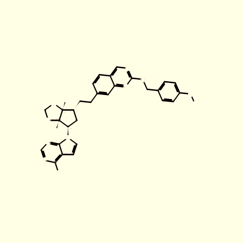 COc1ccc(CNc2ncc3ccc(CC[C@H]4C[C@@H](n5ccc6c(N)ncnc65)[C@@H]5OCO[C@H]45)cc3n2)cc1